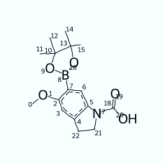 COc1cc2c(cc1B1OC(C)(C)C(C)(C)O1)N(C(=O)O)CC2